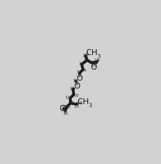 CCC(CCCOCOCCCC(CC)C1CO1)C1CO1